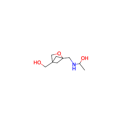 CC(O)NCC12CC(CO)(CO1)C2